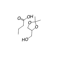 CC1(C)OCC(CO)O1.CCCC(=O)O